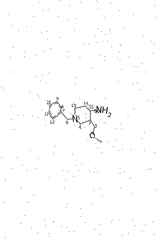 COCC1CN(Cc2ccccc2)CCC1N